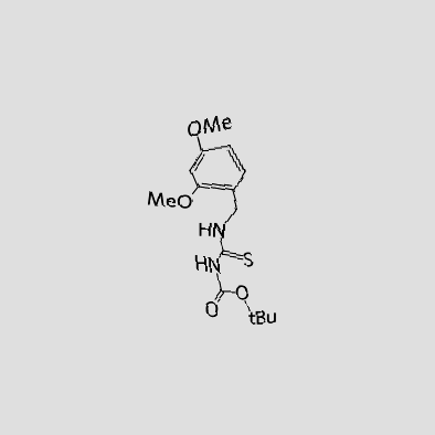 COc1ccc(CNC(=S)NC(=O)OC(C)(C)C)c(OC)c1